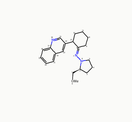 COC[C@@H]1CCCN1N=C1CCCCC1c1cnc2ccccc2c1